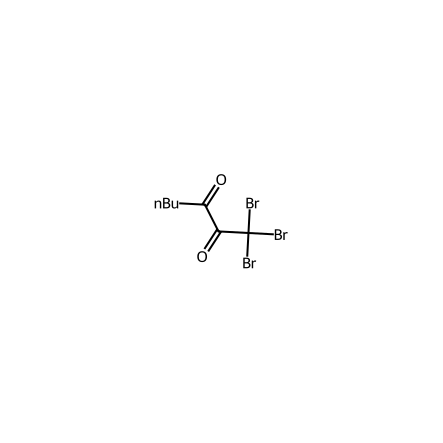 CCCCC(=O)C(=O)C(Br)(Br)Br